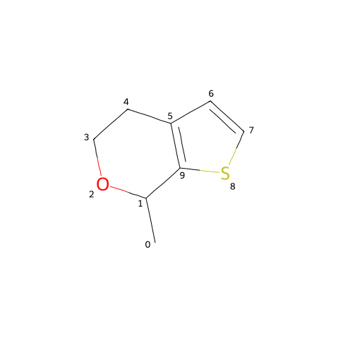 CC1OCCc2ccsc21